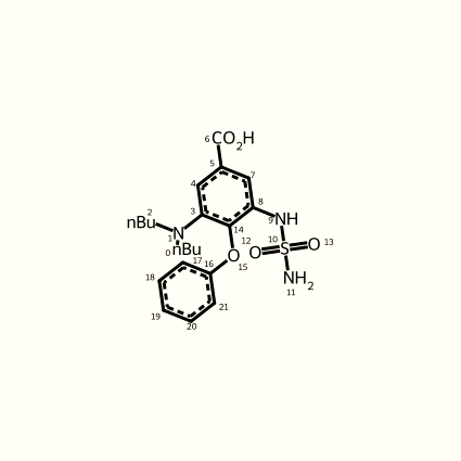 CCCCN(CCCC)c1cc(C(=O)O)cc(NS(N)(=O)=O)c1Oc1ccccc1